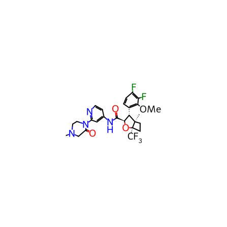 COc1c([C@H]2[C@H](C(=O)Nc3ccnc(N4CCN(C)CC4=O)c3)O[C@]3(C(F)(F)F)CC[C@]23C)ccc(F)c1F